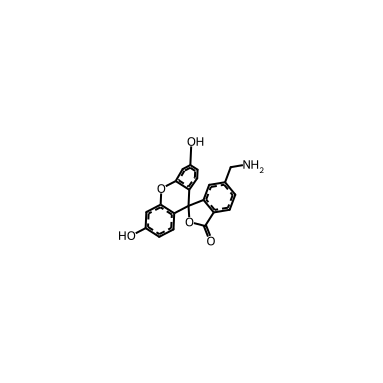 NCc1ccc2c(c1)C1(OC2=O)c2ccc(O)cc2Oc2cc(O)ccc21